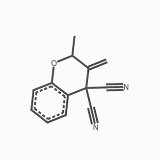 C=C1C(C)Oc2ccccc2C1(C#N)C#N